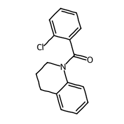 O=C(c1ccccc1Cl)N1CCCc2ccccc21